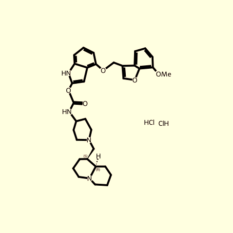 COc1cccc2c(COc3cccc4[nH]c(OC(=O)NC5CCN(C[C@@H]6CCCN7CCCC[C@H]67)CC5)cc34)coc12.Cl.Cl